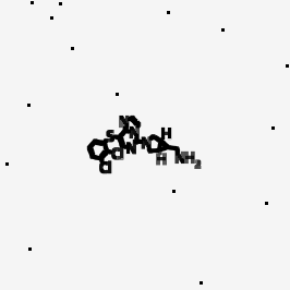 NCC1[C@H]2CN(c3ncc(Sc4cccc(Cl)c4Cl)c4nccn34)C[C@@H]12